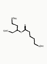 CCCCCCCCCCCCCCC(=O)OC(C[C]=O)CCCCCCCCCCCC